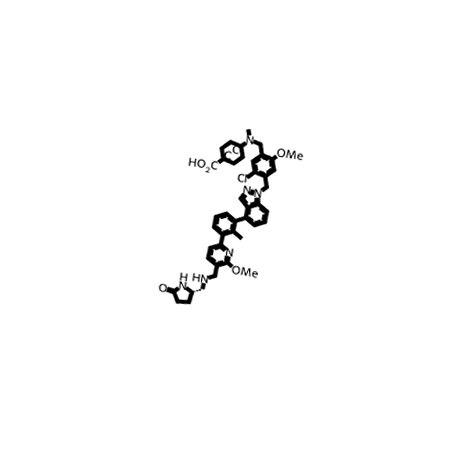 COc1cc(Cn2ncc3c(-c4cccc(-c5ccc(CNC[C@@H]6CCC(=O)N6)c(OC)n5)c4C)cccc32)c(Cl)cc1CN(C)C12CCC(C(=O)O)(CC1)CC2